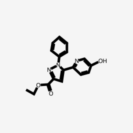 CCOC(=O)c1cc(-c2ccc(O)cn2)n(-c2ccccc2)n1